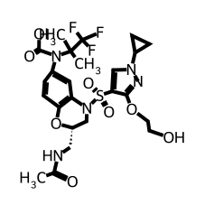 CC(=O)NC[C@H]1CN(S(=O)(=O)c2cn(C3CC3)nc2OCCO)c2cc(N(C(=O)O)C(C)(C)C(F)(F)F)ccc2O1